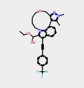 CCOC(O)c1c(C#Cc2ccc(C(F)(F)F)cc2)c2cccc3c2n1CCCCOCc1nn(C)c(C)c1-3